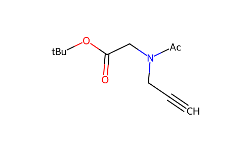 C#CCN(CC(=O)OC(C)(C)C)C(C)=O